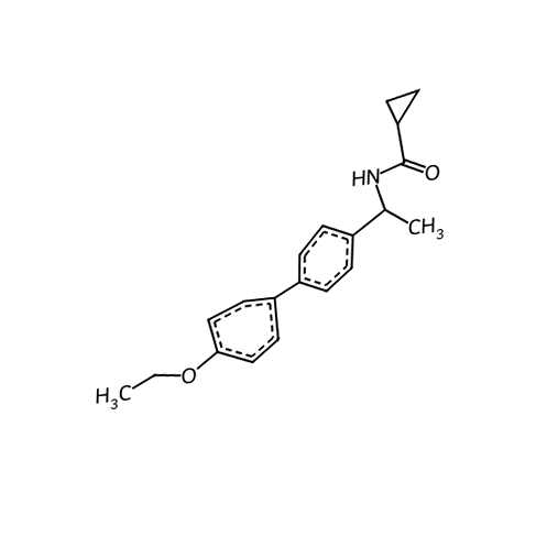 CCOc1ccc(-c2ccc(C(C)NC(=O)C3CC3)cc2)cc1